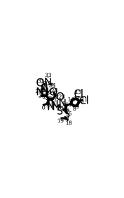 Cc1nn(-c2nc(-c3ccc(Cl)c(Cl)c3)c(SC(C)C)s2)c(C(=O)O)c1-c1cnn(C(=O)N(C)C)c1